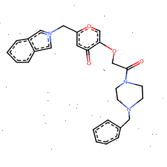 O=C(COc1coc(Cn2cc3ccccc3c2)cc1=O)N1CCN(Cc2ccccc2)CC1